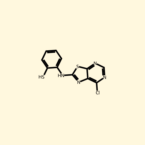 Sc1ccccc1Nc1nc2c(Cl)ncnc2s1